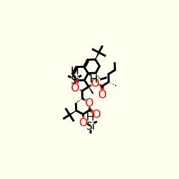 CCC[C@H](C)C(=O)O[C@@](C)(C1CC=CC2=C[C@@H](C(C)(C)C)C[C@H](CC)[C@@H]21)[C@@H](O[SiH](C)C)[C@H]1C[C@H](C(C)(C)C)C(O[SiH](C)C)C(=O)O1